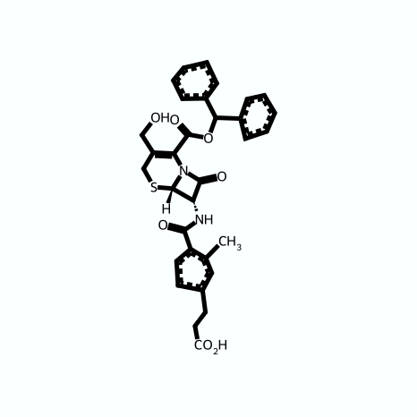 Cc1cc(CCC(=O)O)ccc1C(=O)N[C@H]1C(=O)N2C(C(=O)OC(c3ccccc3)c3ccccc3)=C(CO)CS[C@@H]12